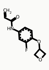 C=CC(=O)Nc1ccc(OC2COC2)c(F)c1